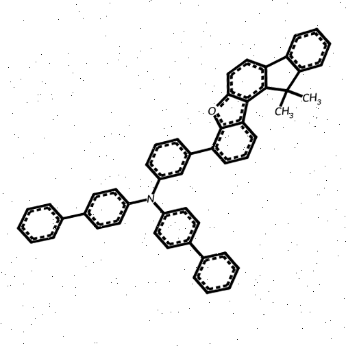 CC1(C)c2ccccc2-c2ccc3oc4c(-c5cccc(N(c6ccc(-c7ccccc7)cc6)c6ccc(-c7ccccc7)cc6)c5)cccc4c3c21